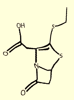 CCSC1=C(C(=O)O)N2C(=O)CC2S1